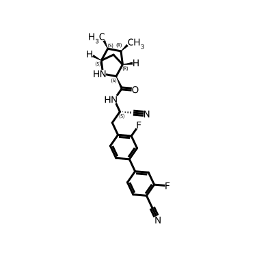 C[C@@H]1[C@H](C)[C@@H]2C[C@H]1[C@@H](C(=O)N[C@H](C#N)Cc1ccc(-c3ccc(C#N)c(F)c3)cc1F)N2